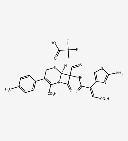 C[n+]1ccc(C2=C(C(=O)O)N3C(=O)C(C=S)(NC(=O)C(=CC(=O)O)c4csc(N)n4)[C@@H]3SC2)cc1.O=C(O)C(F)(F)F